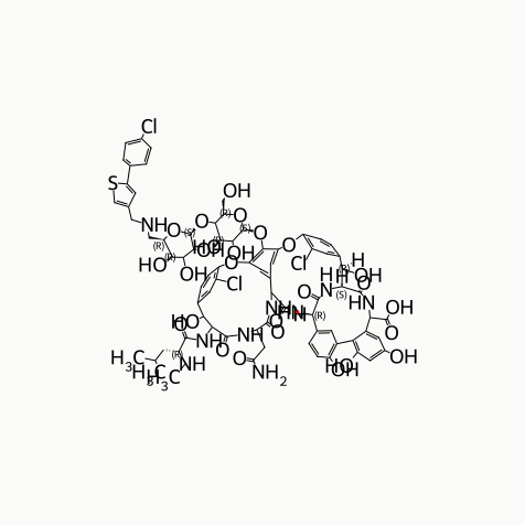 CN[C@H](CC(C)C)C(=O)NC1C(=O)NC(CC(N)=O)C(=O)NC2C(=O)N[C@H]3C(=O)N[C@H](C(=O)NC(C(=O)O)c4cc(O)cc(O)c4-c4cc3ccc4O)[C@H](O)c3ccc(c(Cl)c3)Oc3cc2cc(c3O[C@@H]2O[C@H](CO)C(O[C@@H]3O[C@H](CNCc4csc(-c5ccc(Cl)cc5)c4)[C@H](O)C(O)C3O)[C@H](O)C2O)Oc2ccc(cc2Cl)C1O